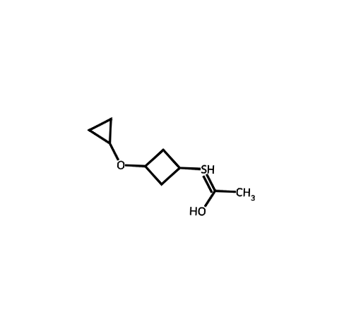 CC(O)=[SH]C1CC(OC2CC2)C1